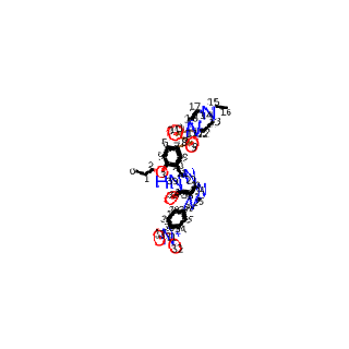 CCCOc1ccc(S(=O)(=O)N2CCN(CC)CC2)cc1-c1nc2ncn(-c3ccc([N+](=O)[O-])cc3)c2c(=O)[nH]1